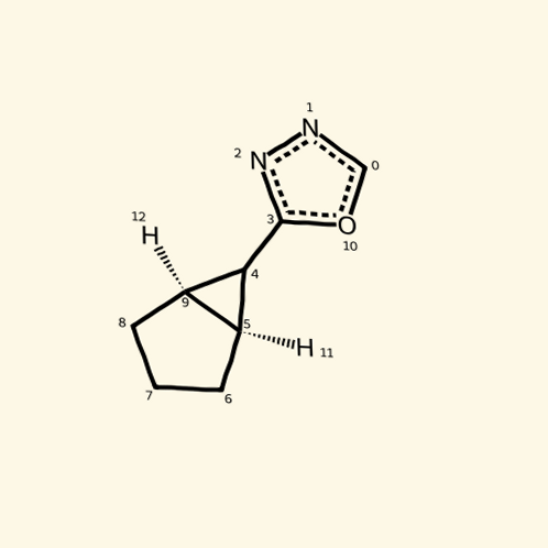 c1nnc(C2[C@H]3CCC[C@@H]23)o1